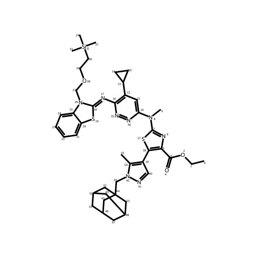 CCOC(=O)c1nc(N(C)c2cc(C3CC3)c(/N=c3\sc4ccccc4n3COCC[Si](C)(C)C)nn2)sc1-c1cnn(CC23CC4CC(CC(C4)C2)C3)c1C